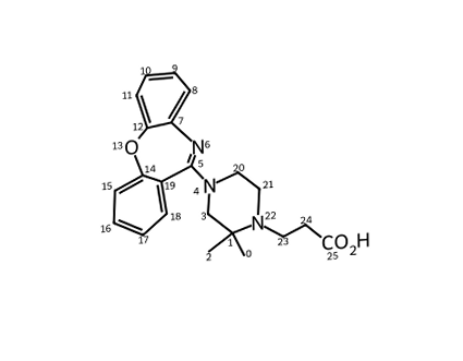 CC1(C)CN(C2=Nc3ccccc3Oc3ccccc32)CCN1CCC(=O)O